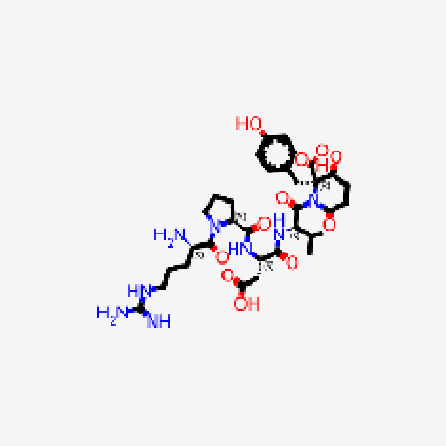 CC(C)[C@H](NC(=O)[C@H](CC(=O)O)NC(=O)[C@@H]1CCCN1C(=O)[C@@H](N)CCCNC(=N)N)C(=O)N1C(=O)CCC(=O)[C@]1(Cc1ccc(O)cc1)C(=O)O